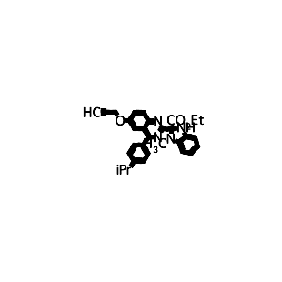 C#CCOc1ccc2nc(C3(C(=O)OCC)Nc4ccccc4N3C)nc(-c3ccc(C(C)C)cc3)c2c1